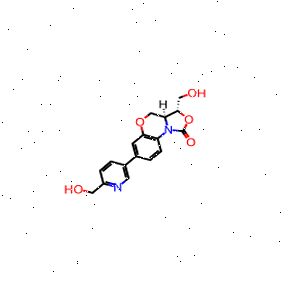 O=C1O[C@@H](CO)[C@@H]2COc3cc(-c4ccc(CO)nc4)ccc3N12